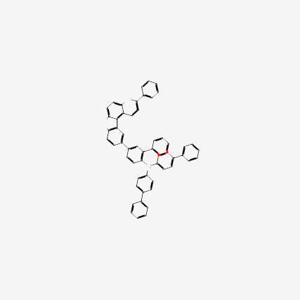 C1=Cc2c(ccc3oc4ccc(-c5ccc(N(c6ccc(-c7ccccc7)cc6)c6ccc(-c7ccccc7)cc6)c(-c6ccccc6)c5)cc4c23)OC=1c1ccccc1